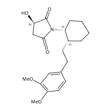 COc1ccc(CC[C@H]2CCCC[C@H]2N2C(=O)C[C@@H](O)C2=O)cc1OC